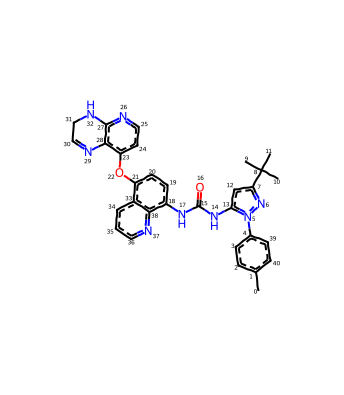 Cc1ccc(-n2nc(C(C)(C)C)cc2NC(=O)Nc2ccc(Oc3ccnc4c3N=CCN4)c3cccnc23)cc1